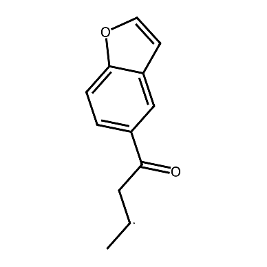 C[CH]CC(=O)c1ccc2occc2c1